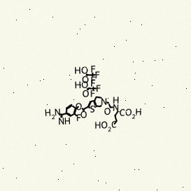 N=C(N)c1ccc(OC(=O)c2cc3c(s2)CN(CC(=O)N[C@@H](CCC(=O)O)C(=O)O)CC3)c(F)c1.O=C(O)C(F)(F)F.O=C(O)C(F)(F)F